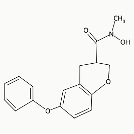 CN(O)C(=O)C1COc2ccc(Oc3ccccc3)cc2C1